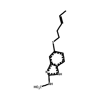 CC=CCCSc1ccc2[nH]c(NC(=O)O)nc2c1